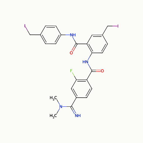 CN(C)C(=N)c1ccc(C(=O)Nc2ccc(CI)cc2C(=O)Nc2ccc(CI)cc2)c(F)c1